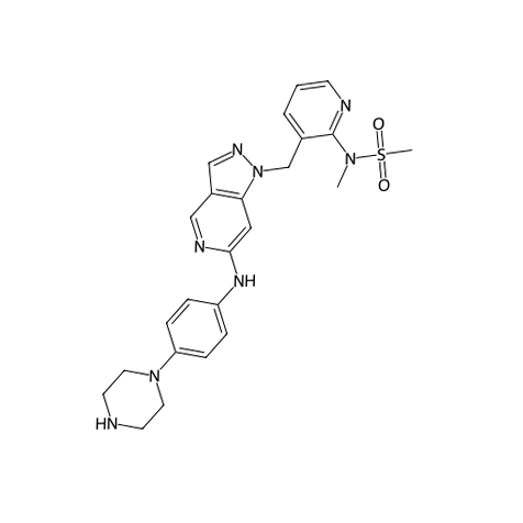 CN(c1ncccc1Cn1ncc2cnc(Nc3ccc(N4CCNCC4)cc3)cc21)S(C)(=O)=O